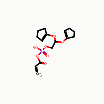 C=CC(=O)OP(=O)(O)OCC(OC1=CCCC1)OC1=CCCC1